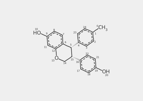 Cc1ccc([C@H]2c3ccc(O)cc3OC[C@H]2c2ccc(O)cc2)cc1